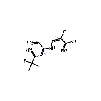 CCC(=N)/C(F)=C\N/C(C=N)=C/C(=N)C(C)(F)F